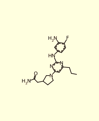 CCCc1cc(N2CCC(CC(N)=O)C2)nc(Nc2ccc(F)c(N)c2)n1